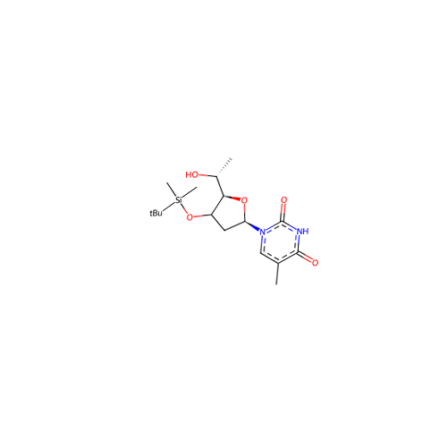 Cc1cn([C@H]2CC(O[Si](C)(C)C(C)(C)C)[C@@H]([C@@H](C)O)O2)c(=O)[nH]c1=O